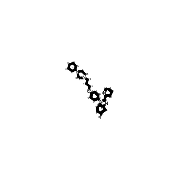 Fc1ccc2c(c1)nc(-c1ccccn1)n2-c1ccc(OCCCN2CCN(C3CCCCC3)CC2)cc1